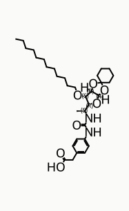 CCCCCCCCCCCCO[C@@H]1[C@H]2OC3(CCCCC3)O[C@H]2O[C@@H]1[C@H](C)NC(=O)Nc1ccc(CC(=O)O)cc1